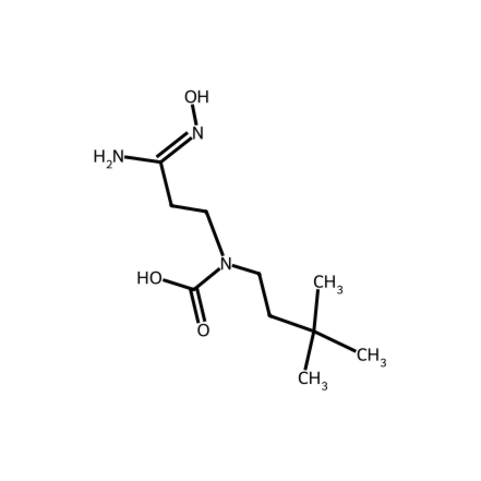 CC(C)(C)CCN(CCC(N)=NO)C(=O)O